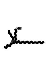 Br.CCCCCCCCCCCCCC[PH](CCCCCC)(CCCCCC)CCCCCC